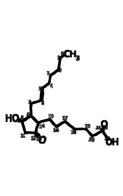 CCCCCC=CCC1C(O)CC(=O)C1CCCCCCC(=O)O